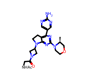 CC(=O)NCC(=O)N1CC(N2CCc3c(-c4cnc(N)nc4)nc(N4CCOC[C@@H]4C)nc32)C1